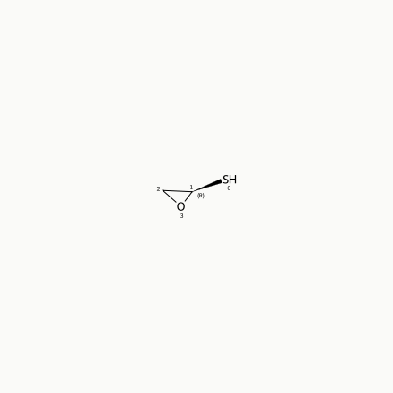 S[C@@H]1CO1